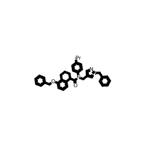 CC(C)c1ccc(N(Cc2cnn(Cc3ccccc3)c2)C(=O)C2CCCc3c(OCc4ccccc4)cccc32)cc1